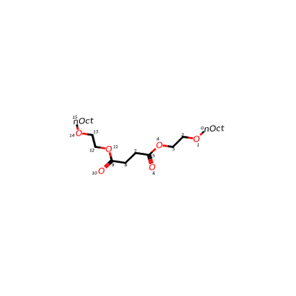 CCCCCCCCOCCOC(=O)CCC(=O)OCCOCCCCCCCC